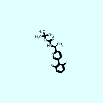 C[C@H](NC(=O)OC(C)(C)C)c1ccc(-c2c(F)cccc2F)cn1